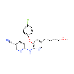 COCCCCc1cnc(Nc2ccc(C#N)cn2)c(Oc2ccc(F)cc2)c1